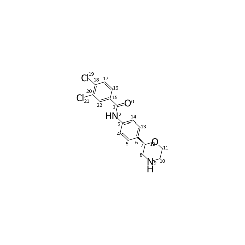 O=C(Nc1ccc([C@@H]2CNCCO2)cc1)c1ccc(Cl)c(Cl)c1